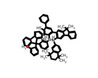 Cc1ccccc1C1(c2cccc(Bc3c(-c4cc5c(cc4Nc4ccc6c(c4)C(C)(C)CCC6(C)C)-c4ccccc4C5(C)C)cc(-c4ccccc4)c(S)c3C)c2C)c2ccccc2-c2ccccc21